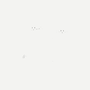 COc1cc(F)c(CC(C)C)cc1OC